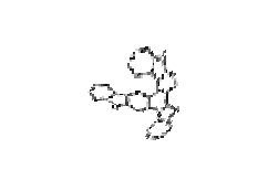 c1ccc2c(c1)nc1c3ccc4sc5ccccc5c4c3c3cc4c(cc3n21)oc1ccccc14